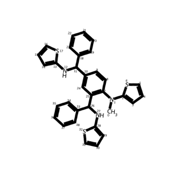 CN(c1cccs1)c1ccc(C(Nc2cccs2)c2ccccc2)cc1C(Nc1cccs1)c1ccccc1